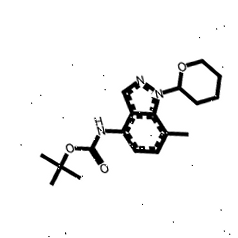 Cc1ccc(NC(=O)OC(C)(C)C)c2cnn(C3CCCCO3)c12